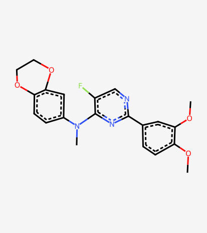 COc1ccc(-c2ncc(F)c(N(C)c3ccc4c(c3)OCCO4)n2)cc1OC